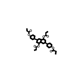 C=CC(=O)Oc1ccc(-c2cc(OC(=O)C=C)c3cc(-c4ccc(OC(=O)C=C)cc4)cc(OC(=O)C=C)c3c2)cc1